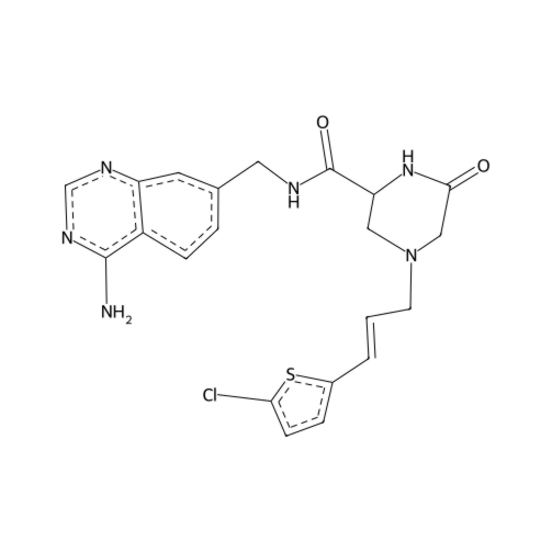 Nc1ncnc2cc(CNC(=O)C3CN(CC=Cc4ccc(Cl)s4)CC(=O)N3)ccc12